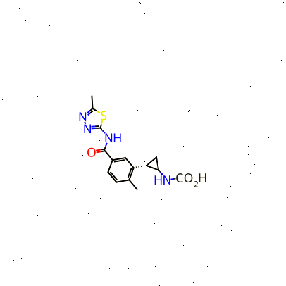 Cc1nnc(NC(=O)c2ccc(C)c([C@@H]3C[C@H]3NC(=O)O)c2)s1